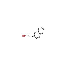 BrCCc1[c]cc2ccccc2c1